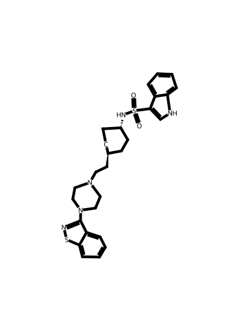 O=S(=O)(N[C@H]1CC[C@H](CCN2CCN(c3nsc4ccccc34)CC2)CC1)c1c[nH]c2ccccc12